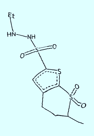 CCNNS(=O)(=O)c1cc2c(s1)S(=O)(=O)C(C)CC2